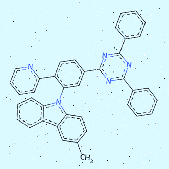 Cc1ccc2c(c1)c1ccccc1n2-c1cc(-c2nc(-c3ccccc3)nc(-c3ccccc3)n2)ccc1-c1ccccn1